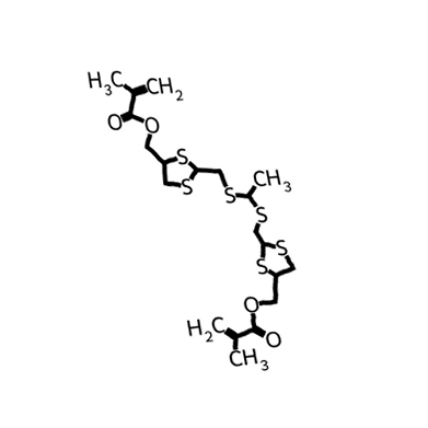 C=C(C)C(=O)OCC1CSC(CSC(C)SCC2SCC(COC(=O)C(=C)C)S2)S1